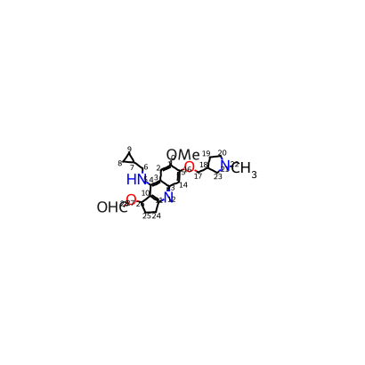 COc1cc2c(NCC3CC3)c3c(nc2cc1OCC1CCN(C)C1)CCC3OC=O